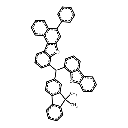 CC1(C)c2ccccc2-c2ccc(N(c3cccc4c3oc3ccccc34)c3cccc4c3oc3cc(-c5ccccc5)c5ccccc5c34)cc21